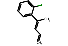 C=C/C=C(\C)c1ccccc1F